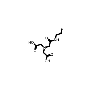 CCCNC(=O)CN(CC(=O)O)CC(=O)O